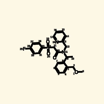 COCc1ccccc1C(C)N(Cc1ccccn1)C(=O)CS(=O)(=O)c1ccc(F)cc1